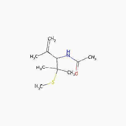 C=C(C)C(NC(C)=O)C(C)(C)SC